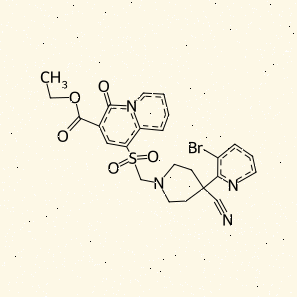 CCOC(=O)c1cc(S(=O)(=O)CN2CCC(C#N)(c3ncccc3Br)CC2)c2ccccn2c1=O